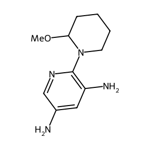 COC1CCCCN1c1ncc(N)cc1N